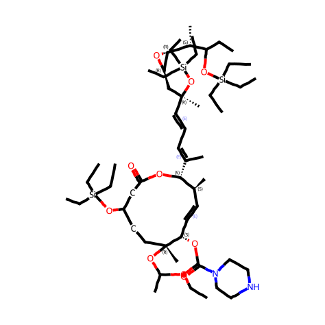 CCOC(C)O[C@]1(C)CCC(O[Si](CC)(CC)CC)CC(=O)O[C@H](/C(C)=C/C=C/[C@@](C)(C[C@H]2O[C@@H]2[C@H](C)C(CC)O[Si](CC)(CC)CC)O[Si](CC)(CC)CC)[C@@H](C)/C=C/[C@@H]1OC(=O)N1CCNCC1